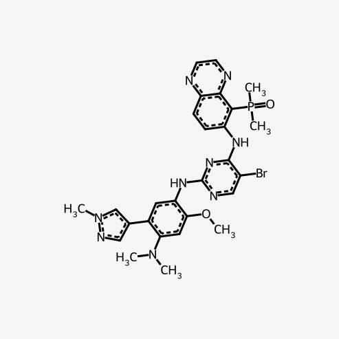 COc1cc(N(C)C)c(-c2cnn(C)c2)cc1Nc1ncc(Br)c(Nc2ccc3nccnc3c2P(C)(C)=O)n1